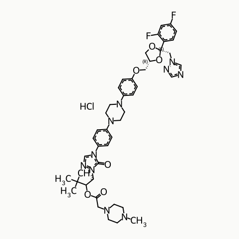 CN1CCN(CC(=O)OC(Cn2ncn(-c3ccc(N4CCN(c5ccc(OC[C@@H]6CO[C@@](Cn7cncn7)(c7ccc(F)cc7F)O6)cc5)CC4)cc3)c2=O)C(C)(C)C)CC1.Cl